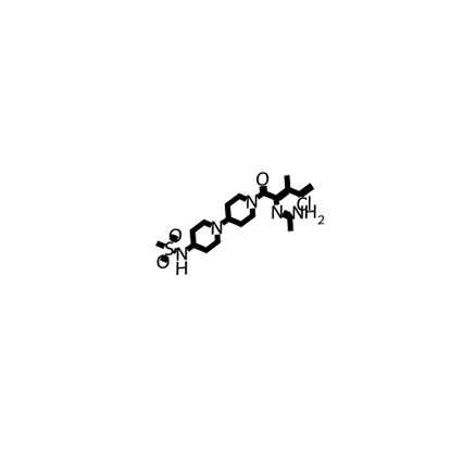 C=C(Cl)/C(C)=C(\N=C(\C)N)C(=O)N1CCC(N2CCC(NS(C)(=O)=O)CC2)CC1